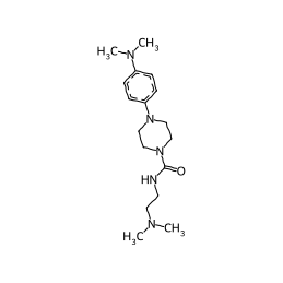 CN(C)CCNC(=O)N1CCN(c2ccc(N(C)C)cc2)CC1